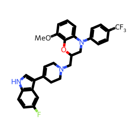 COc1cccc2c1OC(CN1CC=C(c3c[nH]c4ccc(F)cc34)CC1)CN2c1ccc(C(F)(F)F)cc1